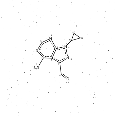 Nc1ncnc2c1c(C=O)nn2C1CC1